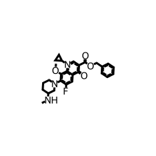 CNC1CCCN(c2c(F)cc3c(=O)c(C(=O)OCc4ccccc4)cn(C4CC4)c3c2OC)C1